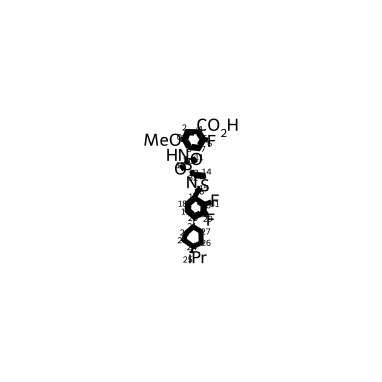 COc1cc(C(=O)O)c(F)cc1NS(=O)(=O)c1csc(-c2ccc([C@H]3CC[C@H](C(C)C)CC3)c(F)c2F)n1